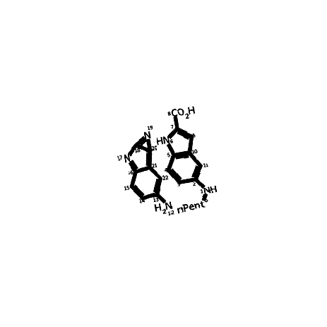 CCCCCNc1ccc2[nH]c(C(=O)O)cc2c1.Nc1ccc2nc3nc-3c2c1